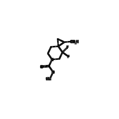 CC(C)(C)OC(=O)N1CCC2(CC2C(=O)O)C(F)(F)C1